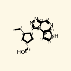 CC[C@H]1C[C@@H](CO)C[C@H]1c1nnc2cnc3[nH]ccc3n12